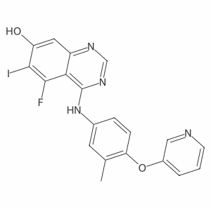 Cc1cc(Nc2ncnc3cc(O)c(I)c(F)c23)ccc1Oc1cccnc1